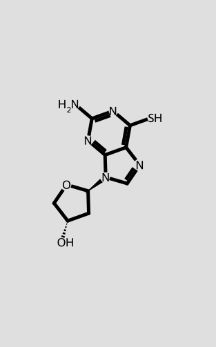 Nc1nc(S)c2ncn([C@H]3C[C@H](O)CO3)c2n1